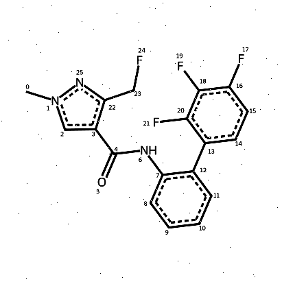 Cn1cc(C(=O)Nc2ccccc2-c2ccc(F)c(F)c2F)c(CF)n1